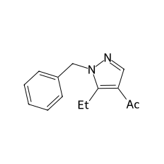 CCc1c(C(C)=O)cnn1Cc1ccccc1